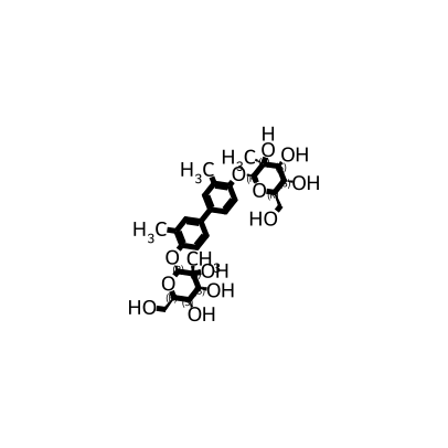 Cc1cc(-c2ccc(O[C@H]3O[C@H](CO)[C@@H](O)[C@H](O)[C@]3(C)O)c(C)c2)ccc1O[C@H]1O[C@H](CO)[C@@H](O)[C@H](O)[C@@]1(C)O